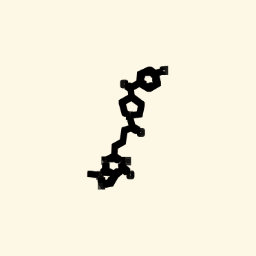 Cn1ncc2c(=O)[nH]c(CCCC(=O)N3CCC(C(=O)c4ccc(Cl)cc4)CC3)nc21